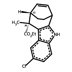 CCOC(=O)[C@@]1(C)c2c([nH]c3ccc(Cl)cc23)C2C=C[C@@H]1CC2